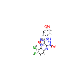 ON/C(=N/c1ccc(F)c(Br)c1)c1nonc1NC1CCC(O)CC1